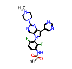 CCCS(=O)(=O)Nc1ccc(F)c(-n2cc(-c3cncnc3)c3nc(N4CCN(C)CC4)ncc32)c1F